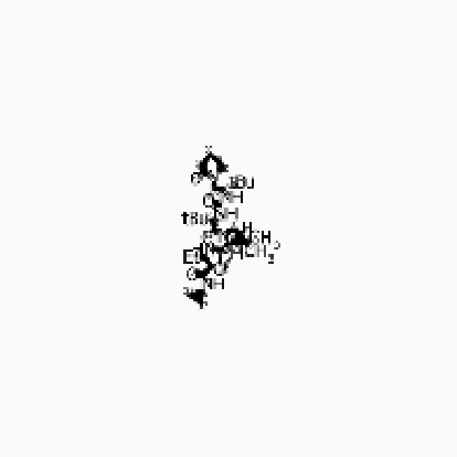 CCC(NC(=O)[C@@H]1[C@@H]2[C@H](CN1C(=O)[C@@H](NC(=O)N[C@H](CN1CCCCC1=O)C(C)(C)C)C(C)(C)C)C2(C)C)C(=O)C(=O)NC1CC1